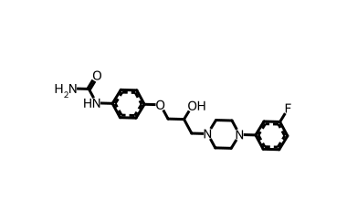 NC(=O)Nc1ccc(OCC(O)CN2CCN(c3cccc(F)c3)CC2)cc1